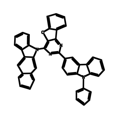 c1ccc(-n2c3ccccc3c3cc(-c4nc(-n5c6ccccc6c6cc7ccccc7cc65)c5oc6ccccc6c5n4)ccc32)cc1